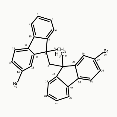 CC1(CC2(C)c3ccccc3-c3ccc(Br)cc32)c2ccccc2-c2ccc(Br)cc21